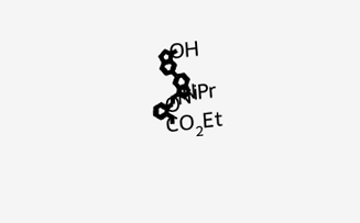 CCOC(=O)Cc1ccccc1OCc1nn(C(C)C)c2ccc(-c3ccc4c(c3)C(O)CC4)cc12